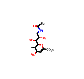 CCC(C)C(=O)NC[C@H](O)[C@H](O)C1OC(C(=O)O)=CC(O)[C@H]1C